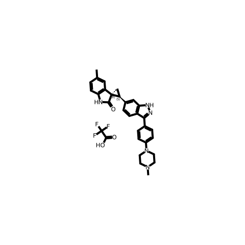 Cc1ccc2c(c1)[C@]1(C[C@H]1c1ccc3c(-c4ccc(N5CCN(C)CC5)cc4)n[nH]c3c1)C(=O)N2.O=C(O)C(F)(F)F